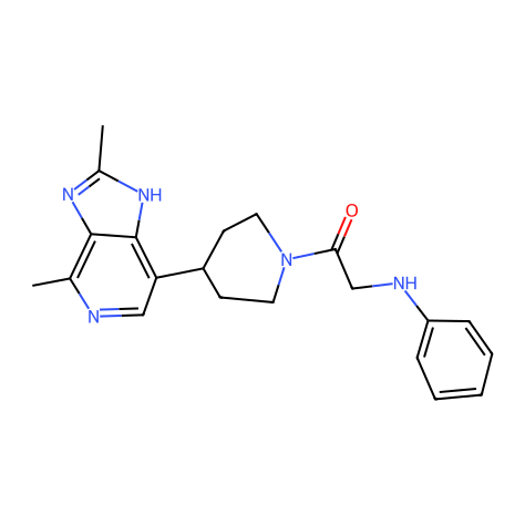 Cc1nc2c(C)ncc(C3CCN(C(=O)CNc4ccccc4)CC3)c2[nH]1